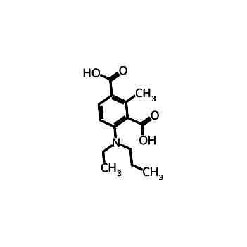 CCCN(CC)c1ccc(C(=O)O)c(C)c1C(=O)O